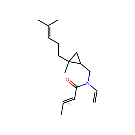 C=CN(CC1CC1(C)CCC=C(C)C)C(=O)/C=C/C